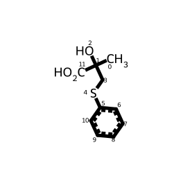 CC(O)(CSc1ccccc1)C(=O)O